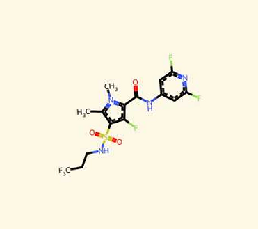 Cc1c(S(=O)(=O)NCCC(F)(F)F)c(F)c(C(=O)Nc2cc(F)nc(F)c2)n1C